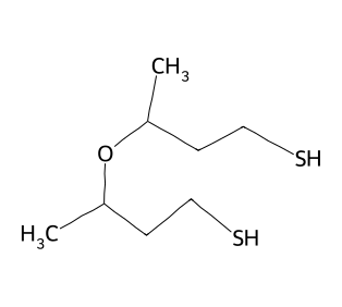 CC(CCS)OC(C)CCS